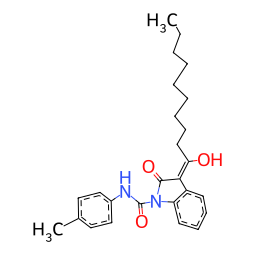 CCCCCCCCCC(O)=C1C(=O)N(C(=O)Nc2ccc(C)cc2)c2ccccc21